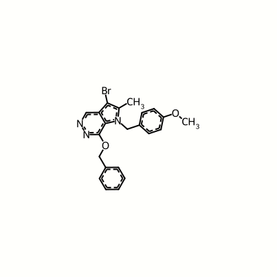 COc1ccc(Cn2c(C)c(Br)c3cnnc(OCc4ccccc4)c32)cc1